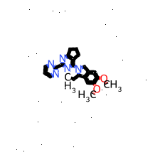 CCC1c2cc(OC)c(OC)cc2CN1c1nc(-c2ncccn2)nc2c1CCC2